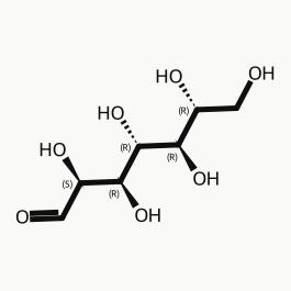 O=C[C@@H](O)[C@H](O)[C@H](O)[C@H](O)[C@H](O)CO